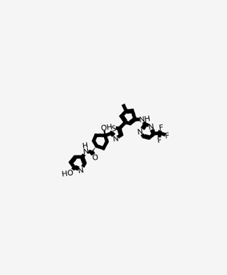 Cc1cc(Nc2nccc(C(F)(F)F)n2)cc(-c2cnc([C@]3(O)CC[C@H](C(=O)Nc4ccc(O)nc4)CC3)s2)c1